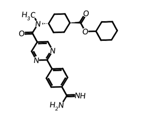 CN(C(=O)c1cnc(-c2ccc(C(=N)N)cc2)nc1)[C@H]1CC[C@H](C(=O)OC2CCCCC2)CC1